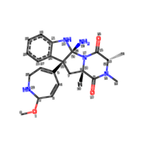 COC1C=CC([C@]23C[C@H]4C(=O)N(C)[C@@H](C)C(=O)N4[C@@]2(N)Nc2ccccc23)=CCN1